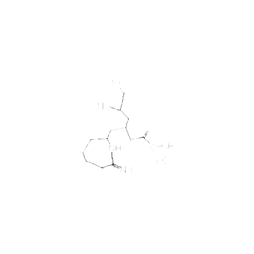 COC(=O)CC(CC(O)CO)CC1CCCCC(=N)N1.Cl